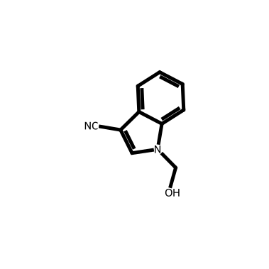 N#Cc1cn(CO)c2ccccc12